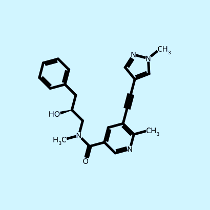 Cc1ncc(C(=O)N(C)C[C@@H](O)Cc2ccccc2)cc1C#Cc1cnn(C)c1